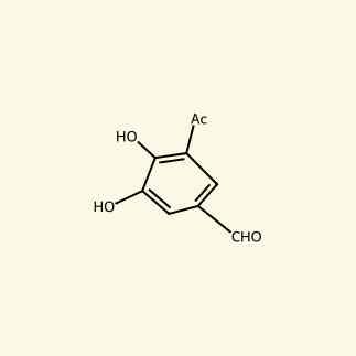 CC(=O)c1cc(C=O)cc(O)c1O